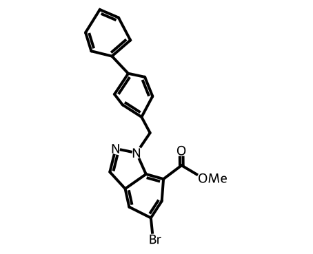 COC(=O)c1cc(Br)cc2cnn(Cc3ccc(-c4ccccc4)cc3)c12